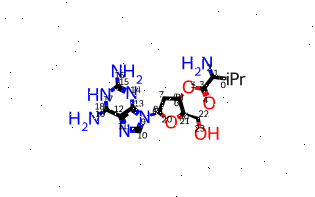 CC(C)C(N)C(=O)O[C@@H]1C[C@H](n2cnc3c2N=C(N)NC3N)O[C@@H]1CO